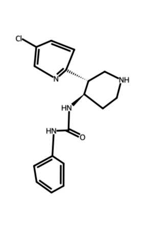 O=C(Nc1ccccc1)N[C@@H]1CCNC[C@H]1c1ccc(Cl)cn1